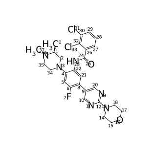 C[C@H]1CN(c2cc(F)c(-c3cnc(N4CCOCC4)nc3)cc2NC(=O)c2cccc(Cl)c2Cl)CCN1C